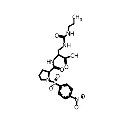 CCCNC(=O)NCC(NC(=O)C1CCCN1S(=O)(=O)c1ccc([N+](=O)[O-])cc1)C(=O)O